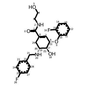 O=C(NCCO)C1=C[C@H](Oc2ccccc2F)[C@@H](O)[C@H](NCc2ccc(F)cc2)C1